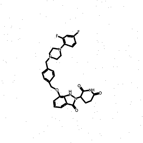 O=C1CCC(n2[nH]c3c(OCc4ccc(CN5CCN(c6ccc(F)cc6F)CC5)cc4)cccc3c2=O)C(=O)N1